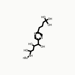 CCCCNC(O)CC(O)C(O)c1cnc(CCCC(O)(O)O)cn1